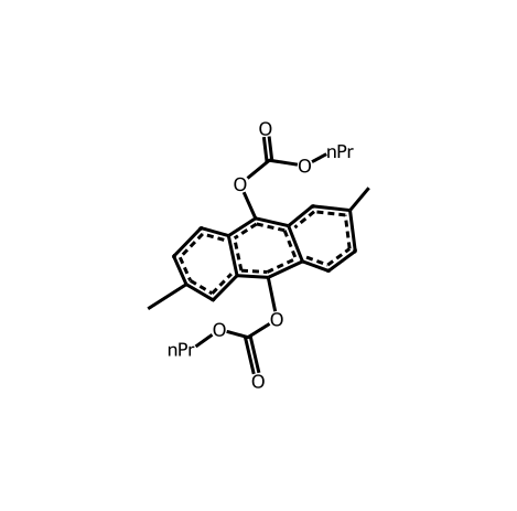 CCCOC(=O)Oc1c2ccc(C)cc2c(OC(=O)OCCC)c2ccc(C)cc12